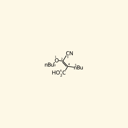 CCCCOC(C#N)=C(CCCC)C(=O)O